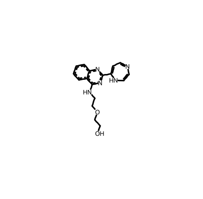 OCCOCCNc1nc(C2=CC=NC=CN2)nc2ccccc12